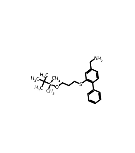 CC(C)(C)[Si](C)(C)OCCCSc1cc(CN)ccc1-c1ccccc1